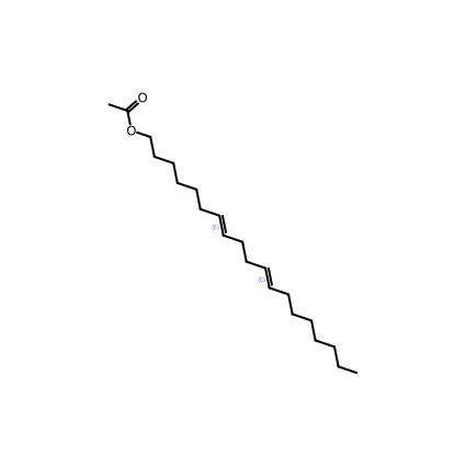 CCCCCCC/C=C/CC/C=C/CCCCCCOC(C)=O